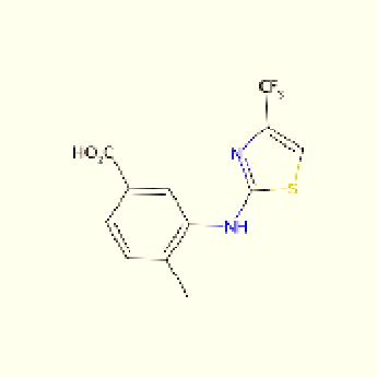 Cc1ccc(C(=O)O)cc1Nc1nc(C(F)(F)F)cs1